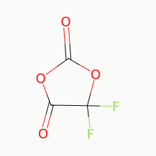 O=C1OC(=O)C(F)(F)O1